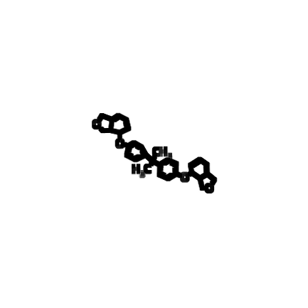 CC(C)(c1ccc(OC2C=CC=C3COCC32)cc1)c1ccc(OC2C=CC=C3COCC32)cc1